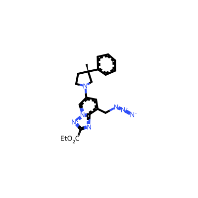 CCOC(=O)c1nc2c(CN=[N+]=[N-])cc(N3CC[C@](C)(c4ccccc4)C3)cn2n1